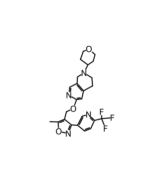 Cc1onc(-c2ccc(C(F)(F)F)nc2)c1COc1cc2c(cn1)CN(C1CCOCC1)CC2